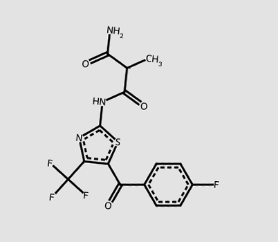 C[C](C(N)=O)C(=O)Nc1nc(C(F)(F)F)c(C(=O)c2ccc(F)cc2)s1